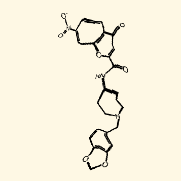 O=C(NC1CCN(Cc2ccc3c(c2)OCO3)CC1)c1cc(=O)c2ccc([N+](=O)[O-])cc2o1